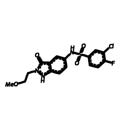 COCCn1[nH]c2ccc(NS(=O)(=O)c3ccc(F)c(Cl)c3)cc2c1=O